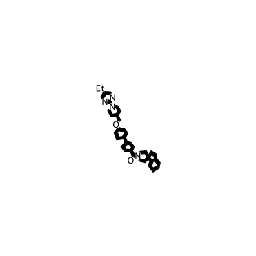 CCc1cnc(N2CCC(COc3ccc(C4=CCC(C(=O)N5CCC6(C=Cc7ccccc76)CC5)CC4)cc3)CC2)nc1